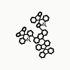 CN1c2ccccc2C2(c3ccccc3-c3ccccc32)c2cccc(-c3cccc4c(-c5cccc6c5-c5ccccc5C65c6ccccc6-c6ccccc65)c5cccc(-c6cccc7c6N(C)c6ccccc6C76c7ccccc7-c7ccccc76)c5cc34)c21